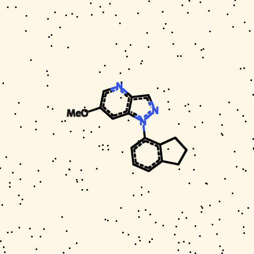 COc1cnc2cnn(-c3cccc4c3CCC4)c2c1